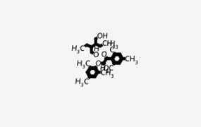 CCC(CO)C(CC)CO.Cc1cc(C)c(OC(=O)C(=O)c2c(C)cc(C)cc2C)c(C)c1